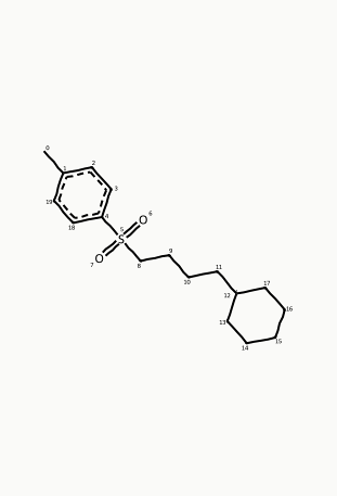 Cc1ccc(S(=O)(=O)CCCC[C]2CCCCC2)cc1